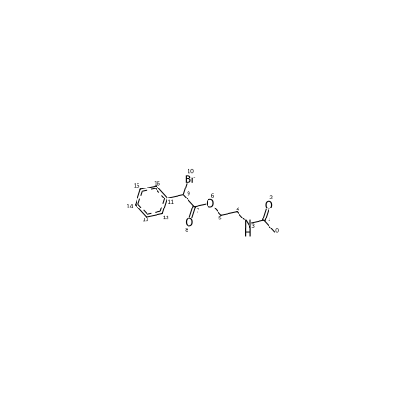 CC(=O)NCCOC(=O)C(Br)c1ccccc1